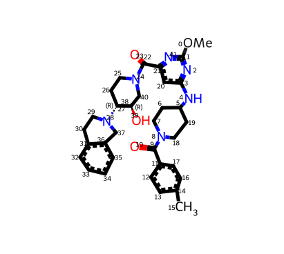 COc1nc(NC2CCN(C(=O)c3ccc(C)cc3)CC2)cc(C(=O)N2CC[C@@H](N3CCc4ccccc4C3)[C@H](O)C2)n1